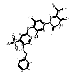 O=c1[nH]c(=O)n(-c2cc(Cl)c(Oc3cc(S(=O)(=O)Cl)c(OCc4ccccc4)cn3)c(Cl)c2)nc1C(F)F